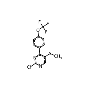 CSc1cnc(Cl)nc1-c1ccc(OC(F)(F)F)cc1